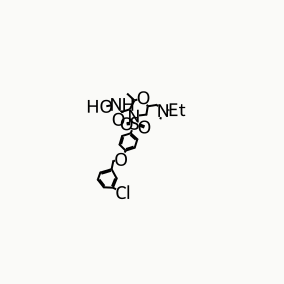 CCN(C)CC1CN(S(=O)(=O)c2ccc(OCc3cccc(Cl)c3)cc2)C(C(=O)NO)C(C)O1